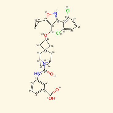 O=C(O)c1cccc(NC(=O)N2C3CCC2CC2(CC(OCc4c(-c5c(Cl)cccc5Cl)noc4C4CC4)C2)C3)c1